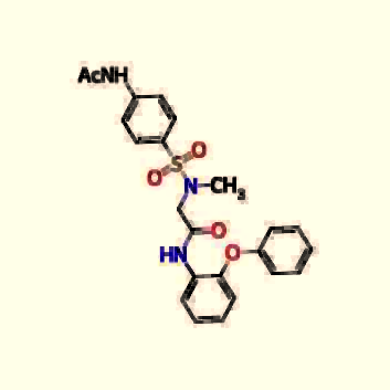 CC(=O)Nc1ccc(S(=O)(=O)N(C)CC(=O)Nc2ccccc2Oc2ccccc2)cc1